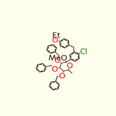 CCOc1ccc(Cc2cc(C3(OC)OC(C)C(OCc4ccccc4)C(OCc4ccccc4)C3OCc3ccccc3)ccc2Cl)cc1